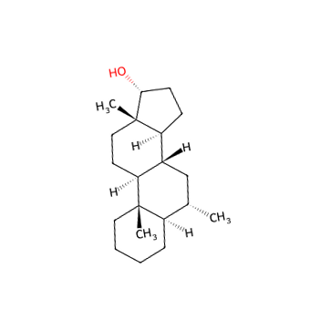 C[C@H]1C[C@@H]2[C@H](CC[C@]3(C)[C@H](O)CC[C@@H]23)[C@@]2(C)CCCC[C@H]12